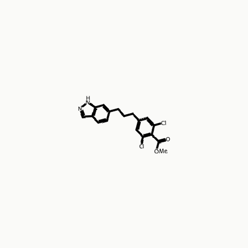 COC(=O)c1c(Cl)cc(CCCc2ccc3cn[nH]c3c2)cc1Cl